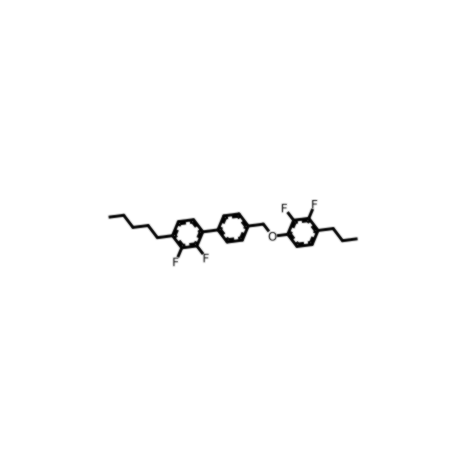 CCCCCc1ccc(-c2ccc(COc3ccc(CCC)c(F)c3F)cc2)c(F)c1F